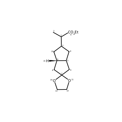 CCOC(=O)C(C)C1CC2CC3(C[C@@H]2C1)OCCO3